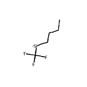 CCCC[Si]C(F)(F)F